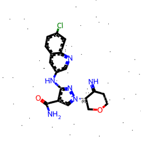 N=C1CCOC[C@@H]1n1cc(C(N)=O)c(Nc2cnc3cc(Cl)ccc3c2)n1